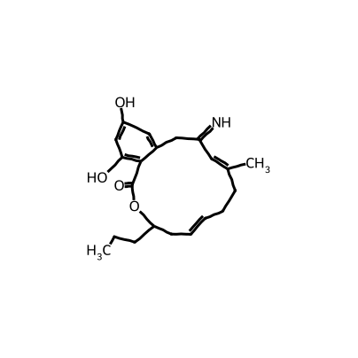 CCCC1C/C=C/CC/C(C)=C/C(=N)Cc2cc(O)cc(O)c2C(=O)O1